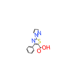 O=C(O)c1sc(-n2cccn2)nc1-c1ccccc1